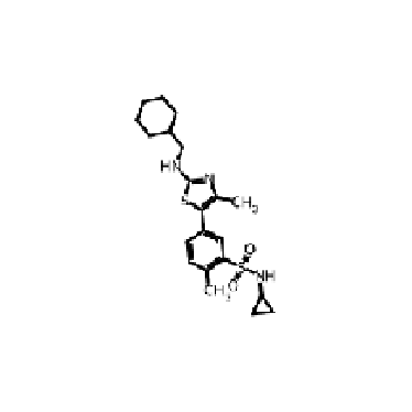 Cc1ccc(-c2sc(NCC3CCCCC3)nc2C)cc1S(=O)(=O)NC1CC1